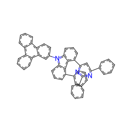 c1ccc(-c2cc(-c3cccc4c3c3c(-c5ccccc5)cccc3n4-c3ccc4c5ccccc5c5ccccc5c4c3)nc(-c3ccccc3)n2)cc1